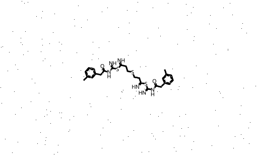 Cc1cccc(CC(=O)NC(=N)SC(=N)CCSCCC(=N)SC(=N)NC(=O)Cc2cccc(C)c2)c1